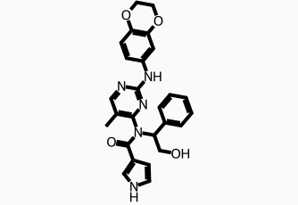 Cc1cnc(Nc2ccc3c(c2)OCCO3)nc1N(C(=O)c1cc[nH]c1)C(CO)c1ccccc1